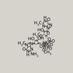 COC1[C@@H](COP(=O)(O)OP(=O)(O)OP(=O)(OC)OC[C@H]2C[C@@H](n3c[n+](C)c4c(=O)[nH]c(N)nc43)C(O)[C@H]2O)O[C@@H](n2cnc3c(=O)[nH]c(C)nc32)[C@H]1O